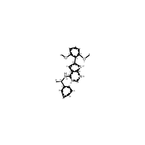 COc1cccc(OC)c1-c1cc2c(N[C@H](C)c3ccccc3)ncnc2s1